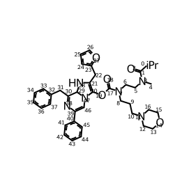 CC(C)C(=O)N(C)CCN(CCCN1CCOCC1)C(=O)OC1=C(Cc2ccco2)NC2C(Cc3ccccc3)=NC(c3ccccc3)=CN12